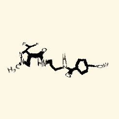 COc1ccc(C(=O)NCCNC(=O)c2cn(C)nc2C(F)F)cc1